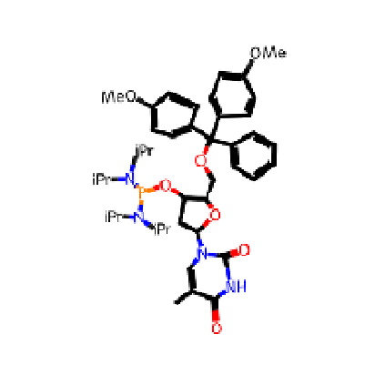 COc1ccc(C(OC[C@H]2O[C@@H](n3cc(C)c(=O)[nH]c3=O)CC2OP(N(C(C)C)C(C)C)N(C(C)C)C(C)C)(c2ccccc2)c2ccc(OC)cc2)cc1